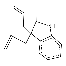 C=CCC1(CC=C)c2ccccc2NC1C